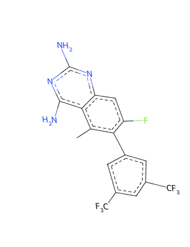 Cc1c(-c2cc(C(F)(F)F)cc(C(F)(F)F)c2)c(F)cc2nc(N)nc(N)c12